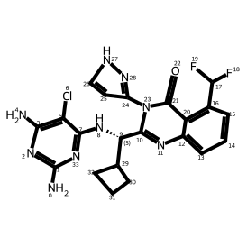 Nc1nc(N)c(Cl)c(N[C@H](c2nc3cccc(C(F)F)c3c(=O)n2-c2cc[nH]n2)C2CCC2)n1